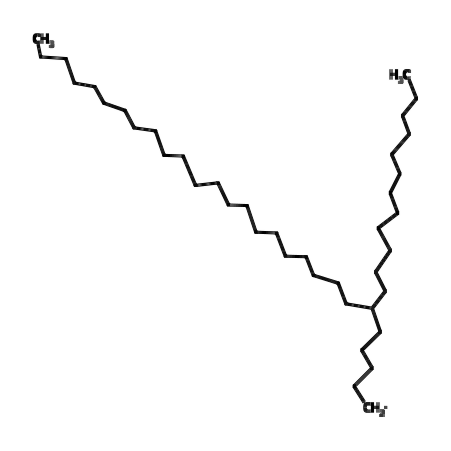 [CH2]CCCCC(CCCCCCCCCCCC)CCCCCCCCCCCCCCCCCCCCCC